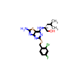 CC(C)C[C@H](CO)Nc1nc(SCc2ccc(F)cc2Br)nc2nc(N)sc12